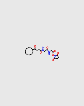 O=C(CCC(=O)C1CCCCCCCCC1)NCC(=O)NCC(=O)ON1C(=O)CCC1=O